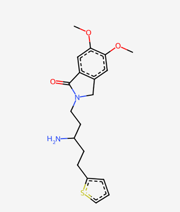 COc1cc2c(cc1OC)C(=O)N(CCC(N)CCc1cccs1)C2